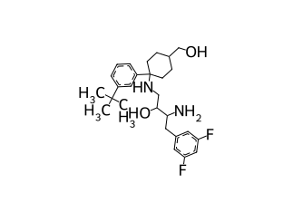 CC(C)(C)c1cccc(C2(NCC(O)C(N)Cc3cc(F)cc(F)c3)CCC(CO)CC2)c1